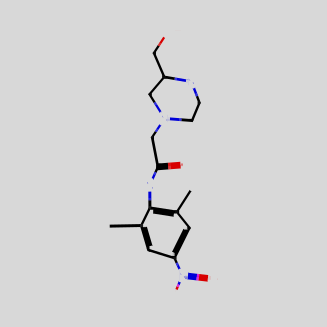 Cc1cc([N+](=O)[O-])cc(C)c1NC(=O)CN1CCNC(CO)C1